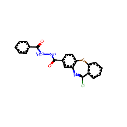 O=C(NNC(=O)c1ccc2c(c1)N=C(Cl)c1ccccc1S2)c1ccccc1